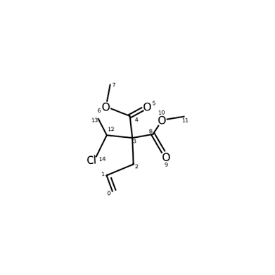 C=CCC(C(=O)OC)(C(=O)OC)C(C)Cl